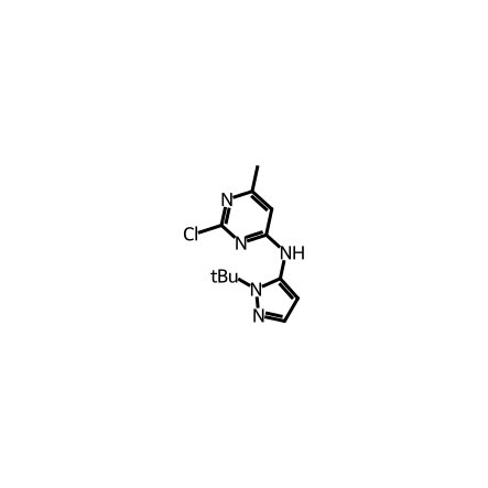 Cc1cc(Nc2ccnn2C(C)(C)C)nc(Cl)n1